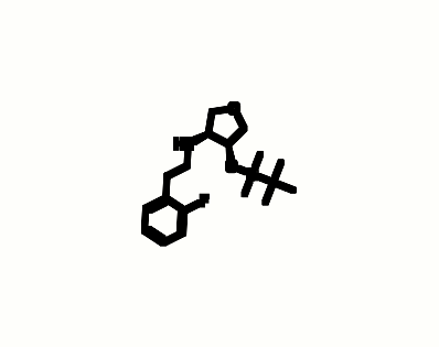 CC(C)(C)[Si](C)(C)O[C@@H]1COC[C@@H]1NCCc1ccccc1F